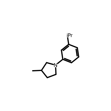 CC1CCN(c2cccc(C(C)C)c2)C1